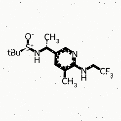 Cc1cc([C@@H](C)N[S@+]([O-])C(C)(C)C)cnc1NCC(F)(F)F